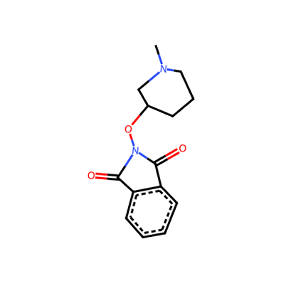 CN1CCCC(ON2C(=O)c3ccccc3C2=O)C1